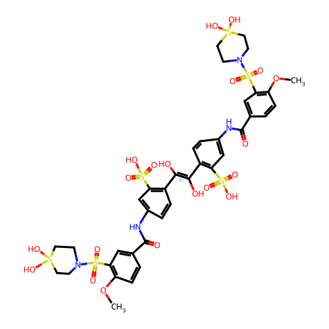 COc1ccc(C(=O)Nc2ccc(/C(O)=C(\O)c3ccc(NC(=O)c4ccc(OC)c(S(=O)(=O)N5CCS(O)(O)CC5)c4)cc3S(=O)(=O)O)c(S(=O)(=O)O)c2)cc1S(=O)(=O)N1CCS(O)(O)CC1